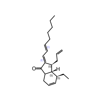 C=CC[C@@H]1/C(=C\C=C\CCCCC)C(=O)C2CC=C[C@H](CC)[C@H]21